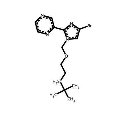 CC(C)(C)[SiH2]CCOCn1cc(Br)nc1-c1cnccn1